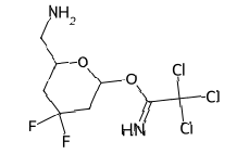 N=C(OC1CC(F)(F)CC(CN)O1)C(Cl)(Cl)Cl